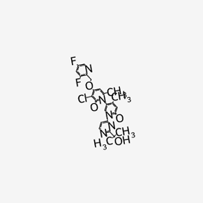 Cc1cc(=O)n(-c2ccnc(C(C)(C)O)n2)cc1-n1c(C)cc(OCc2ncc(F)cc2F)c(Cl)c1=O